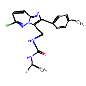 Cc1ccc(-c2nc3ccc(Cl)nn3c2CNC(=O)NC(C)C)cc1